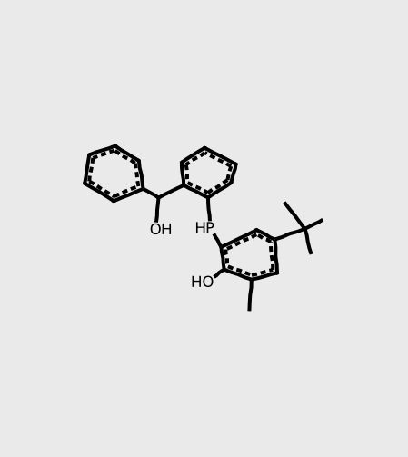 Cc1cc(C(C)(C)C)cc(Pc2ccccc2C(O)c2ccccc2)c1O